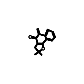 C=C1C(=O)C2=C(OC(C)(C)C2)c2ccccc21